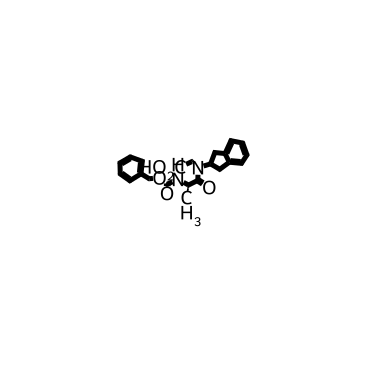 C[C@H](NC(=O)OCc1ccccc1)C(=O)N(CC(=O)O)C1Cc2ccccc2C1